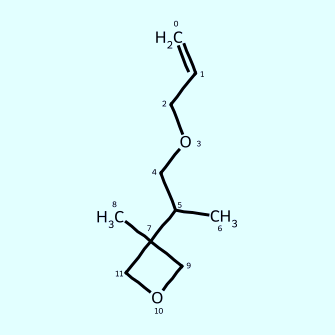 C=CCOCC(C)C1(C)COC1